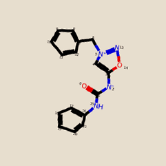 O=C([N-]c1c[n+](Cc2ccccc2)no1)Nc1ccccc1